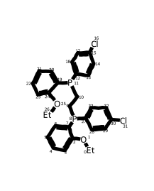 CCOc1ccccc1P(CCP(c1ccc(Cl)cc1)c1ccccc1OCC)c1ccc(Cl)cc1